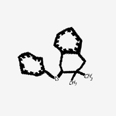 CC1(C)Cc2ccccc2C1Oc1ccccc1